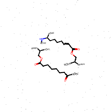 CCCCCCCCCCC(=O)CCCCCCC(=O)OCC(CCCCCC)CCCCCCCC.CCCCCCCCCCNC(CCCCC=CC(=O)OCC(CCCCCC)CCCCCCCC)CCCCCCCCCC